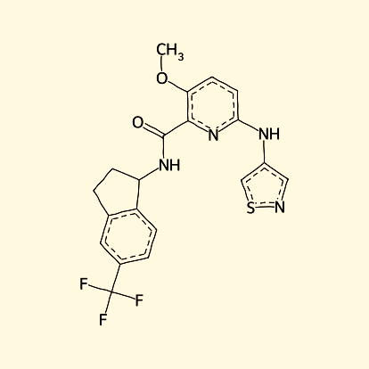 COc1ccc(Nc2cnsc2)nc1C(=O)NC1CCc2cc(C(F)(F)F)ccc21